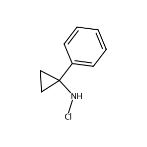 ClNC1(c2ccccc2)CC1